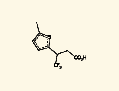 Cc1ccc(C(CC(=O)O)C(F)(F)F)s1